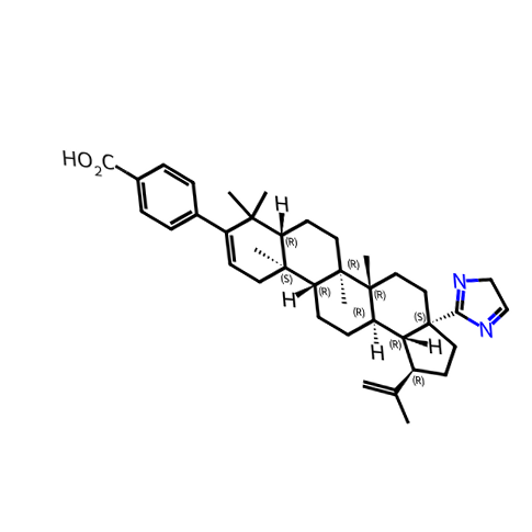 C=C(C)[C@@H]1CC[C@]2(C3=NCC=N3)CC[C@]3(C)[C@H](CC[C@@H]4[C@@]5(C)CC=C(c6ccc(C(=O)O)cc6)C(C)(C)[C@@H]5CC[C@]43C)[C@@H]12